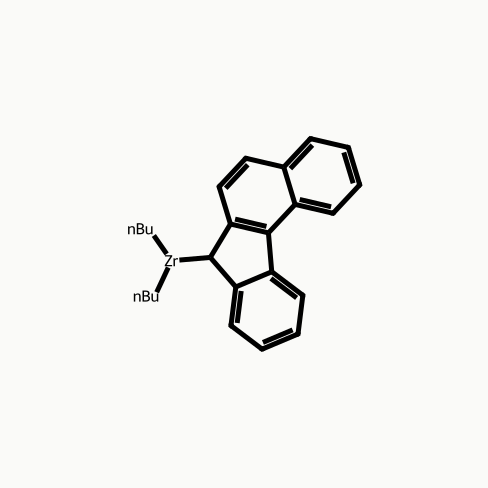 CCC[CH2][Zr]([CH2]CCC)[CH]1c2ccccc2-c2c1ccc1ccccc21